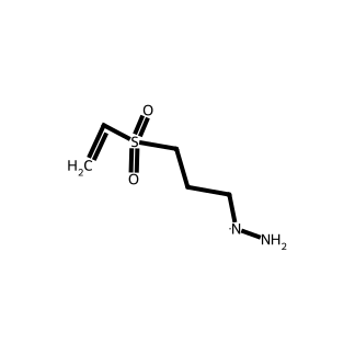 C=CS(=O)(=O)CCC[N]N